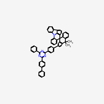 CC1(C)c2ccccc2C2(c3ccccc3-n3c4ccccc4c4cccc2c43)c2cc(-c3ccc(-c4nc(-c5ccccc5)nc(-c5ccc(-c6ccccc6)cc5)n4)cc3)ccc21